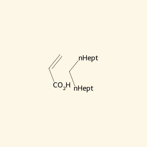 C=CC(=O)O.CCCCCCCCCCCCCCC